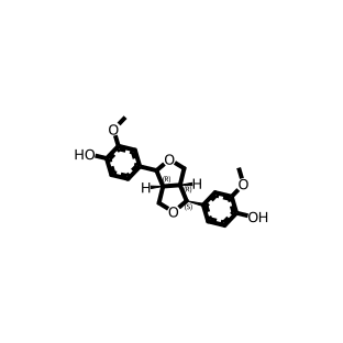 COc1cc(C2OC[C@@H]3[C@@H](c4ccc(O)c(OC)c4)OC[C@H]23)ccc1O